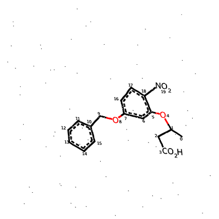 CC(CC(=O)O)Oc1cc(OCc2ccccc2)ccc1[N+](=O)[O-]